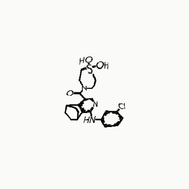 O=C(c1cnc(Nc2cccc(Cl)c2)c2c1C1CCC2CC1)N1CCS(O)(O)CC1